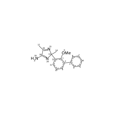 COc1c(-c2ccccc2)cccc1C1(C)N=C(C)C(N)=N1